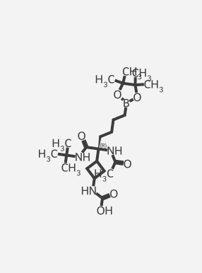 CC(=O)N[C@@](CCCCB1OC(C)(C)C(C)(C)O1)(C(=O)NC(C)(C)C)C1CC(NC(=O)O)C1